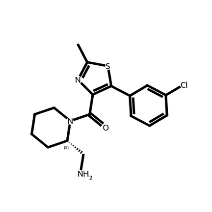 Cc1nc(C(=O)N2CCCC[C@H]2CN)c(-c2cccc(Cl)c2)s1